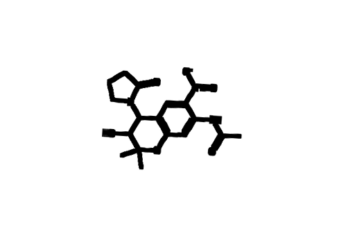 CC(=O)Nc1cc2c(cc1[N+](=O)[O-])C(N1CCCC1=O)C(O)C(C)(C)O2